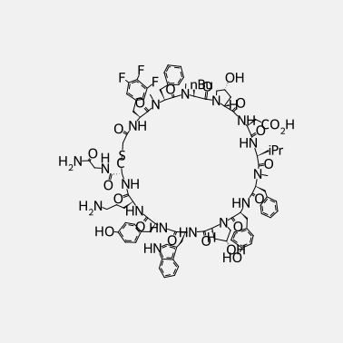 CCCC[C@H]1C(=O)N2C[C@H](O)C[C@@H]2C(=O)N[C@@H](CC(=O)O)C(=O)N[C@@H](C(C)C)C(=O)N(C)[C@@H](Cc2ccccc2)C(=O)N[C@@H](Cc2ccc(O)cc2)C(=O)N2C[C@H](O)C[C@H]2C(=O)N[C@@H](Cc2c[nH]c3ccccc23)C(=O)N[C@@H](Cc2ccc(O)cc2)C(=O)N[C@@H](CCCN)C(=O)N[C@H](C(=O)NCC(N)=O)CSCC(=O)N[C@@H](Cc2cc(F)c(F)c(F)c2)C(=O)N(C)[C@@H](Cc2ccccc2)C(=O)N1C